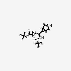 CC(C)(C)OC(=O)NC[C@H](N[S+]([O-])C(C)(C)C)C1C2CNCC21